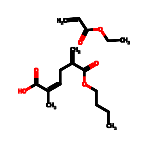 C=C(CC=C(C)C(=O)O)C(=O)OCCCC.C=CC(=O)OCC